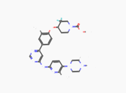 COc1nc(Nc2cc(-c3ccc(OC4CCN(C(=O)OC(C)(C)C)CC4(F)F)c(C#N)c3)ncn2)ccc1N1CCN(C)[C@H](C)C1